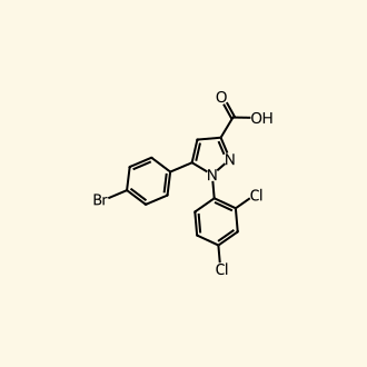 O=C(O)c1cc(-c2ccc(Br)cc2)n(-c2ccc(Cl)cc2Cl)n1